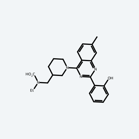 CCN(CC1CCCN(c2nc(-c3ccccc3O)nc3cc(C)ccc23)C1)C(=O)O